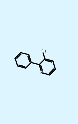 Sc1cccnc1-c1ccccc1